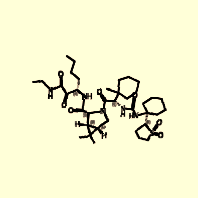 CCCC[C@H](NC(=O)[C@@H]1[C@@H]2[C@H](CN1C(=O)[C@@H](NC(=O)NC1([C@H]3CCCS3(=O)=O)CCCCC1)C1(C)CCCCC1)C2(C)C)C(=O)C(=O)NCC